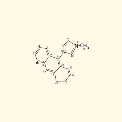 C[n+]1ccn(-c2c3ccccc3cc3ccccc23)c1